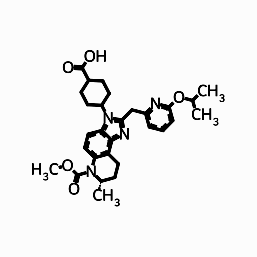 COC(=O)N1c2ccc3c(nc(Cc4cccc(OC(C)C)n4)n3C3CCC(C(=O)O)CC3)c2CC[C@@H]1C